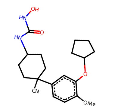 COc1ccc(C2(C#N)CCC(NC(=O)NO)CC2)cc1OC1CCCC1